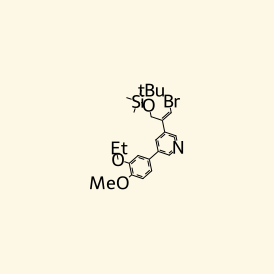 CCOc1cc(-c2cncc(/C(=C/Br)CO[Si](C)(C)C(C)(C)C)c2)ccc1OC